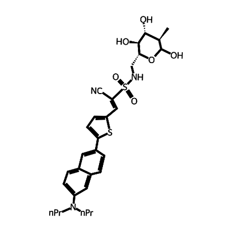 CCCN(CCC)c1ccc2cc(-c3ccc(/C=C(\C#N)S(=O)(=O)NC[C@H]4OC(O)[C@H](C)[C@@H](O)[C@@H]4O)s3)ccc2c1